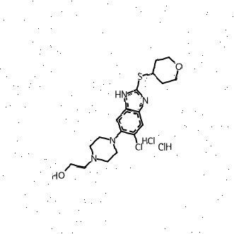 Cl.Cl.OCCN1CCN(c2cc3[nH]c(SC4CCOCC4)nc3cc2Cl)CC1